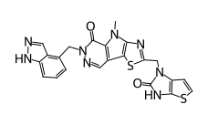 Cn1c2nc(Cn3c(=O)[nH]c4sccc43)sc2c2cnn(Cc3cccc4[nH]ncc34)c(=O)c21